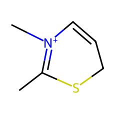 CC1=[N+](C)C=CCS1